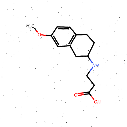 COc1ccc2c(c1)CC(NCCC(=O)O)CC2